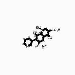 CCn1cc(C(=O)O)c(=O)c2cc(F)c(-c3cccnc3)c(F)c21.[Na]